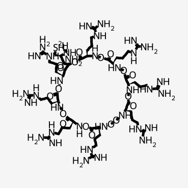 [2H]N[C@H](CS)C(=O)C1(N)OC(=O)[C@@H](CCCNC(=N)N)NOC(=O)[C@@H](CCCNC(=N)N)NOC(=O)[C@@H](CCCNC(=N)N)NOC(=O)[C@@H](CCCNC(=N)N)NOON[C@@H](CCCNC(=N)N)C(=O)ON[C@@H](CCCNC(=N)N)C(=O)ON[C@@H](CCCNC(=N)N)C(=O)ON[C@@H](CCCNC(=N)N)C1=O